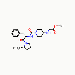 CC(C)(C)OC(=O)CNC1CCN(C(=O)N[C@@H](Cc2ccccc2)C(=O)N2CCC[C@H]2C(=O)O)CC1